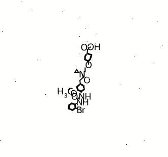 COc1cc(CC(=O)N(CCOc2ccc(C(=O)O)cc2)C2CC2)ccc1NC(=O)Nc1ccccc1Br